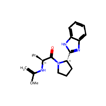 C=C(N[C@H](C(=O)N1CCC[C@H]1c1nc2ccccc2[nH]1)C(C)C)OC